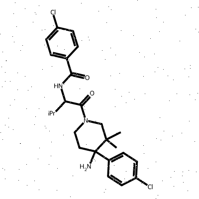 CC(C)C(NC(=O)c1ccc(Cl)cc1)C(=O)N1CCC(N)(c2ccc(Cl)cc2)C(C)(C)C1